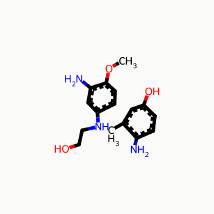 COc1ccc(NCCO)cc1N.Cc1cc(O)ccc1N